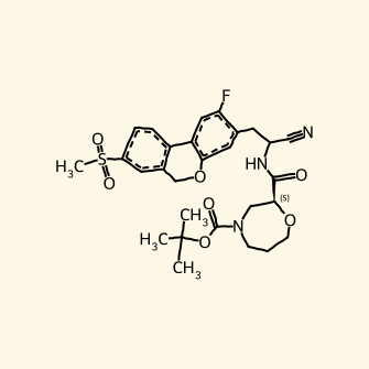 CC(C)(C)OC(=O)N1CCCO[C@H](C(=O)NC(C#N)Cc2cc3c(cc2F)-c2ccc(S(C)(=O)=O)cc2CO3)C1